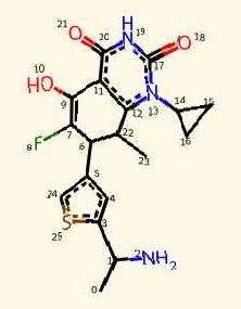 CC(N)c1cc(C2C(F)=C(O)c3c(n(C4CC4)c(=O)[nH]c3=O)C2C)cs1